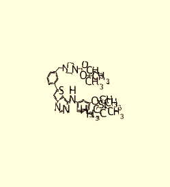 CC(C)(C)OC(=O)N1CCN(Cc2cccc(-c3cc4ncnc(Nc5cccc(O[Si](C)(C)C(C)(C)C)c5)c4s3)c2)CC1